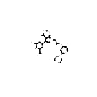 Cc1cc(-c2cn(CC(=O)Nc3cc(N4C[C@@H](C)O[C@@H](C)C4)ncc3Cl)c3ncn(C)c(=O)c23)cc(C(N)=O)c1O